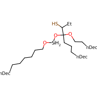 CCCCCCCCCCCCCCCCO[SiH2]OC(CCCCCCCCCCCCC)(OCCCCCCCCCCCC)C(S)CC